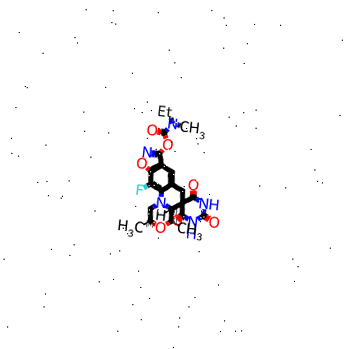 CCN(C)C(=O)Oc1noc2c(F)c3c(cc12)CC1(C(=O)NC(=O)NC1=O)[C@H]1[C@H](C)O[C@H](C)CN31